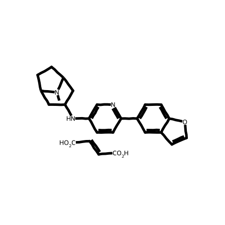 CN1C2CCC1CC(Nc1ccc(-c3ccc4occc4c3)nc1)C2.O=C(O)/C=C/C(=O)O